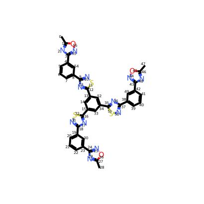 Cc1nc(-c2cccc(-c3nsc(-c4cc(-c5nc(-c6cccc(-c7noc(C)n7)c6)ns5)cc(-c5nc(-c6cccc(-c7noc(C)n7)c6)ns5)c4)n3)c2)no1